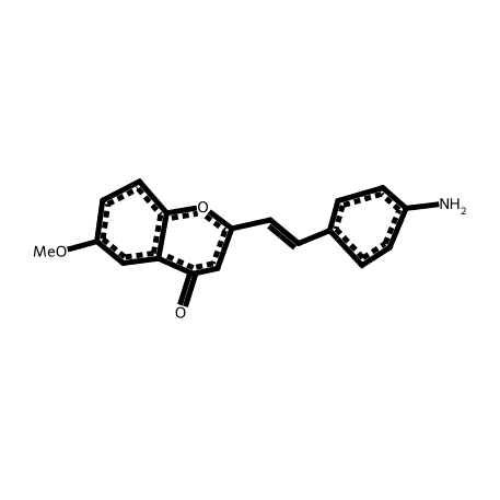 COc1ccc2oc(/C=C/c3ccc(N)cc3)cc(=O)c2c1